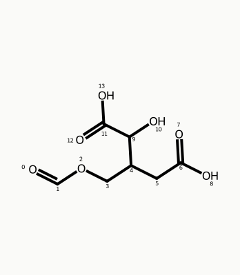 O=COCC(CC(=O)O)C(O)C(=O)O